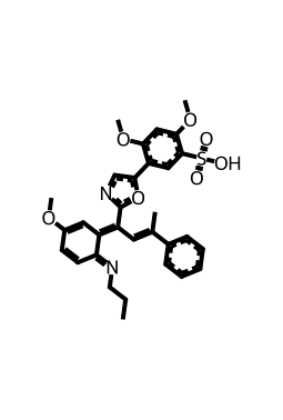 CCC\N=C1/C=CC(OC)=C/C1=C(/C=C(\C)c1ccccc1)c1ncc(-c2cc(S(=O)(=O)O)c(OC)cc2OC)o1